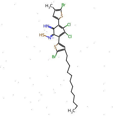 CCCCCCCCCCCCc1cc(C2=C(Cl)C(Cl)=C(c3cc(C)c(Br)s3)C(=N)/C2=N\S)sc1Br